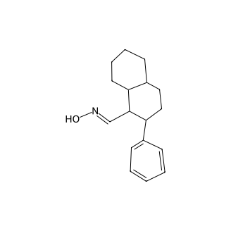 ON=CC1C(c2ccccc2)CCC2CCCCC21